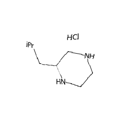 CC(C)CC1CNCCN1.Cl